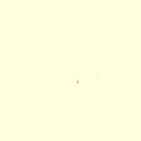 CCOc1ccc2c(c1)[C@H](O)C(N)C2